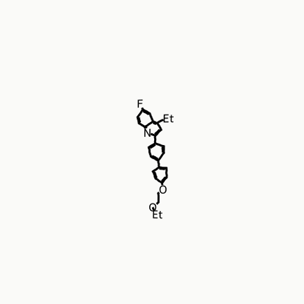 CCOCCOc1ccc(-c2ccc(-c3cc(CC)c4cc(F)ccc4n3)cc2)cc1